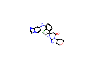 C[C@@]1(c2cccc(Nc3ccn4ccnc4c3)c2Cl)CC(=O)N(C2CCOCC2)C(=N)N1